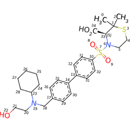 CC1(C)SCCN(S(=O)(=O)c2ccc(-c3ccc(CN(CCO)C4CCCCC4)cc3)cc2)[C@H]1C(=O)O